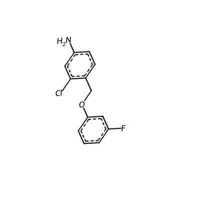 Nc1ccc(COc2cccc(F)c2)c(Cl)c1